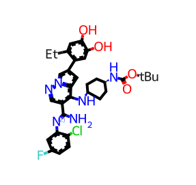 CCc1cc(O)c(O)cc1-c1cc2c(N[C@H]3CC[C@H](NC(=O)OC(C)(C)C)CC3)c(/C(N)=N/c3cc(F)ccc3Cl)cnn2c1